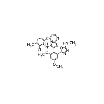 CNc1nnc(-c2cc(OC)cc(OC)c2-c2nc3ncccn3c2Nc2c(Cl)ccc(C)c2Cl)o1